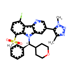 Cc1nnn(C)c1-c1cnc2c3c(F)ccc(S(C)(=O)=O)c3n([C@H](c3ccccc3)C3CCOCC3)c2c1